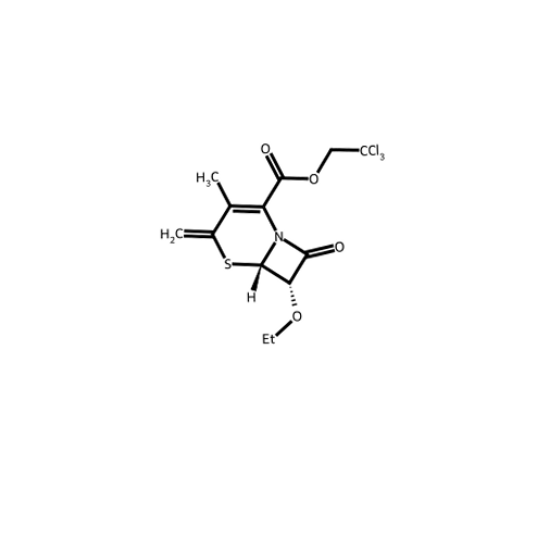 C=C1S[C@H]2[C@@H](OCC)C(=O)N2C(C(=O)OCC(Cl)(Cl)Cl)=C1C